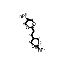 CCCC1COC(CCC2COC(CCC)OC2)OC1